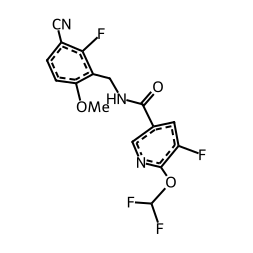 COc1ccc(C#N)c(F)c1CNC(=O)c1cnc(OC(F)F)c(F)c1